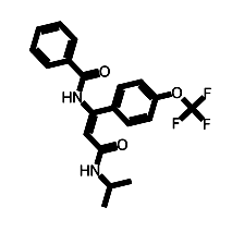 CC(C)NC(=O)C=C(NC(=O)c1ccccc1)c1ccc(OC(F)(F)F)cc1